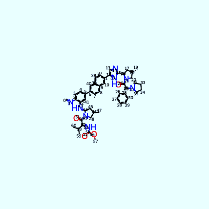 C=Nc1ccc(-c2ccc3cc(-c4cnc([C@@H]5C[C@H](C)CN5C(=O)[C@@H](c5ccccc5)N5CCCC5)[nH]4)ccc3c2)cc1NC1CC(C)CN1C(=O)[C@@H](NC(=O)OC)C(C)C